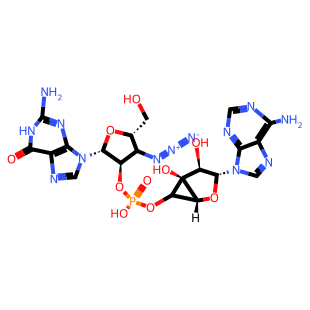 [N-]=[N+]=NC1[C@@H](OP(=O)(O)OC2[C@H]3O[C@@H](n4cnc5c(N)ncnc54)[C@H](O)[C@@]23O)[C@H](n2cnc3c(=O)[nH]c(N)nc32)O[C@@H]1CO